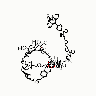 O=C(CCc1cn(C(=O)OCCOCCNC(=O)c2ccc(C3=C4C=CC=[N+]4B(F)n4cccc43)cc2)cn1)NCCOCCOCCNC(=O)c1cc2cc3ccc2cc1SSc1ccc2c(c1)C1c4ccc(cc4C2C(C(=O)O)C1C(=O)O)SSc1ccc2c(c1)C1c4ccc(cc4C2C(C(=O)O)C1C(=O)O)SS3